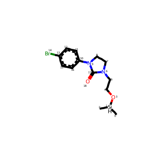 C[SiH](C)OCCN1CCN(c2ccc(Br)cc2)C1=O